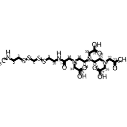 CNCCSSCSSCCNC(=O)CN(CCN(CCN(CC(C)=O)CC(=O)O)CC(=O)O)CC(=O)O